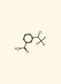 NC(=O)c1cccc(C(Cl)C(F)(F)F)c1